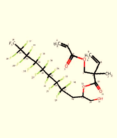 C=CC(=O)OCC(C)(C=C)C(=O)OC(CO)CC(F)(F)C(F)(F)C(F)(F)C(F)(F)C(F)(F)C(F)(F)C(F)(F)C(F)(F)F